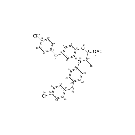 CC(=O)OC(Oc1ccc(Oc2ccc(Cl)cc2)cc1)C(C)Oc1ccc(Oc2ccc(Cl)cc2)cc1